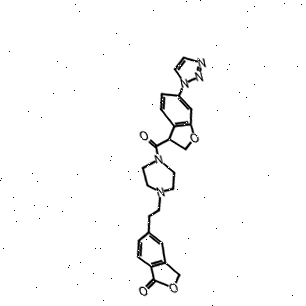 O=C1OCc2cc(CCN3CCN(C(=O)C4COc5cc(-n6ccnn6)ccc54)CC3)ccc21